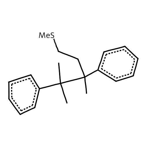 CSCCC(C)(c1ccccc1)C(C)(C)c1ccccc1